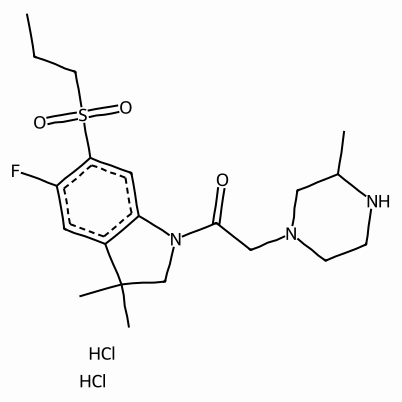 CCCS(=O)(=O)c1cc2c(cc1F)C(C)(C)CN2C(=O)CN1CCNC(C)C1.Cl.Cl